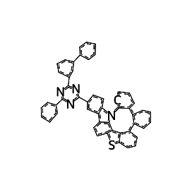 c1ccc(-c2cccc(-c3nc(-c4ccccc4)nc(-c4ccc5c(c4)c4ccc6sc7cccc8c9ccccc9c9ccccc9n5c4c6c78)n3)c2)cc1